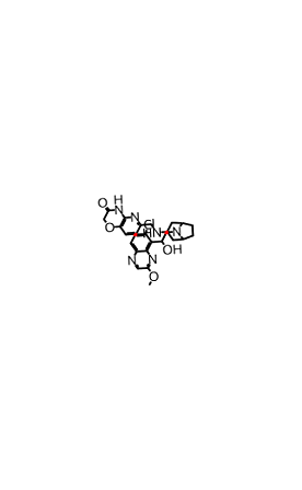 COc1cnc2ccc(Cl)c(C(O)CN3C4CCC3CC(NCc3ccc5c(n3)NC(=O)CO5)C4)c2n1